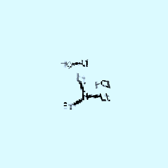 CCN(CC)CC.Cl.OCl